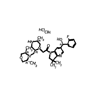 C[C@@H]1CN(CC(=O)N2CC(C)(C)c3ncc([C@@H](O)c4ccccc4F)cc32)[C@@H](CN2[C@H](C)COC[C@H]2C)CN1.Cl.Cl